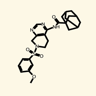 COc1cccc(S(=O)(=O)N2CCc3c(ncnc3NC(=O)C34CC5CC(CC(C5)C3)C4)C2)c1